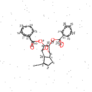 CC1CCC2C3OC(C(OC(=O)c4ccccc4)C3OC(=O)c3ccccc3)C12